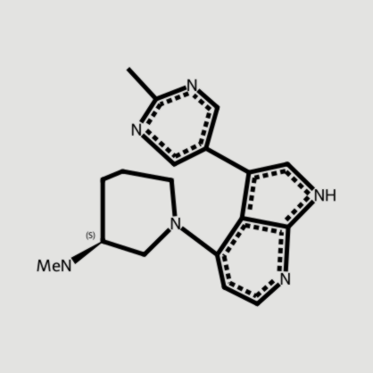 CN[C@H]1CCCN(c2ccnc3[nH]cc(-c4cnc(C)nc4)c23)C1